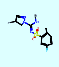 CCN/C(=N\S(=O)(=O)c1cc(F)ccc1C)N1CC(CC)C=N1